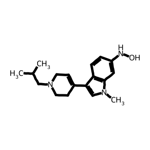 CC(C)CN1CC=C(c2cn(C)c3cc(NO)ccc23)CC1